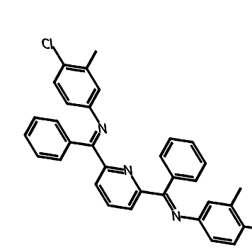 Cc1cc(/N=C(\c2ccccc2)c2cccc(/C(=N/c3ccc(Cl)c(C)c3)c3ccccc3)n2)ccc1Cl